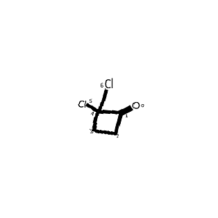 O=C1CCC1(Cl)Cl